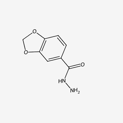 NNC(=O)c1ccc2c(c1)OCO2